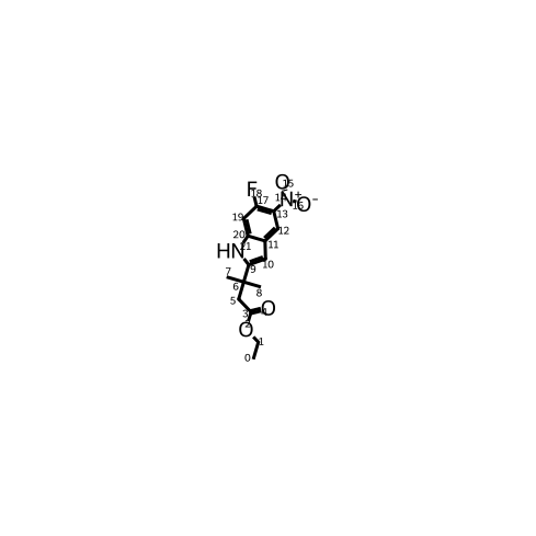 CCOC(=O)CC(C)(C)c1cc2cc([N+](=O)[O-])c(F)cc2[nH]1